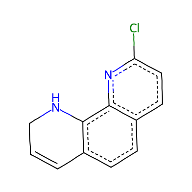 Clc1ccc2ccc3c(c2n1)NCC=C3